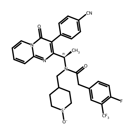 C[C@H](c1nc2ccccn2c(=O)c1-c1ccc(C#N)cc1)N(CC1CC[S+]([O-])CC1)C(=O)Cc1ccc(F)c(C(F)(F)F)c1